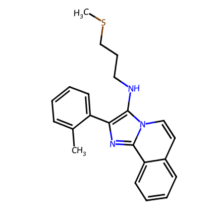 CSCCCNc1c(-c2ccccc2C)nc2c3ccccc3ccn12